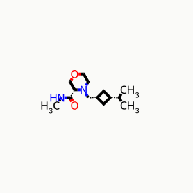 CNC(=O)[C@@H]1COCCN1C[C@H]1C[C@@H](C(C)C)C1